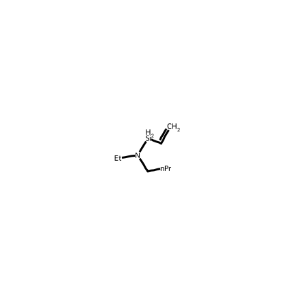 C=C[SiH2]N(CC)CCCC